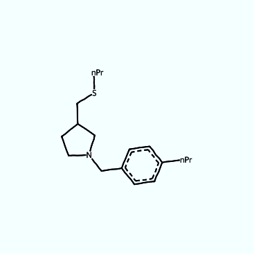 CCCSCC1CCN(Cc2ccc(CCC)cc2)C1